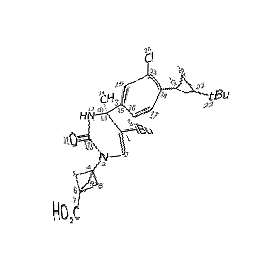 CCC(C)C1=CN(C23CC(C(=O)O)(C2)C3)C(=O)N[C@@]1(C)c1ccc(C2CC2C(C)(C)C)c(Cl)c1